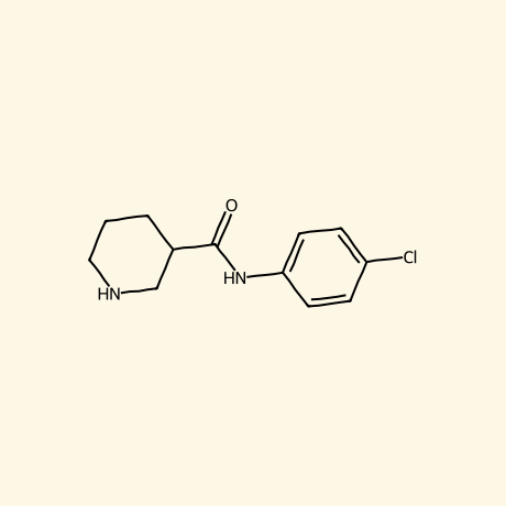 O=C(Nc1ccc(Cl)cc1)C1CCCNC1